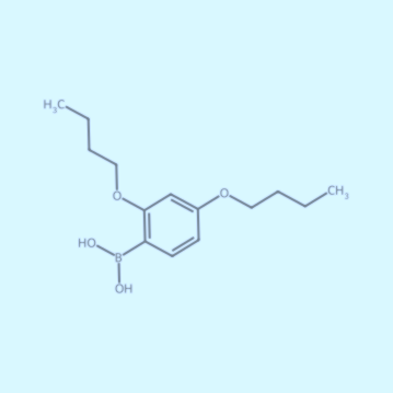 CCCCOc1ccc(B(O)O)c(OCCCC)c1